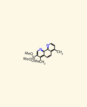 CO[Si](OC)(OC)c1cnc2c(ccc3c(C)ccnc32)c1C